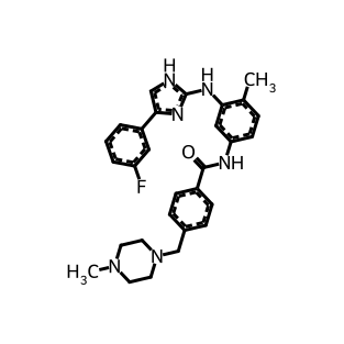 Cc1ccc(NC(=O)c2ccc(CN3CCN(C)CC3)cc2)cc1Nc1nc(-c2cccc(F)c2)c[nH]1